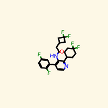 O=C(CC1CC(F)(F)C1)Nc1c(-c2cc(F)ccc2F)ccnc1C1CCC(F)(F)CC1